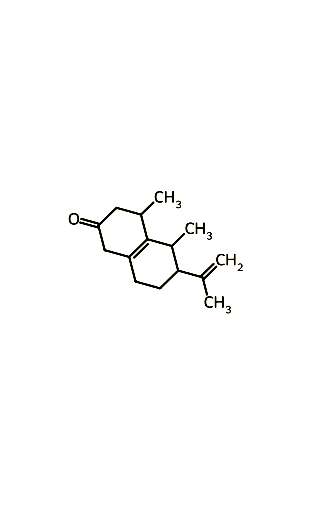 C=C(C)C1CCC2=C(C(C)CC(=O)C2)C1C